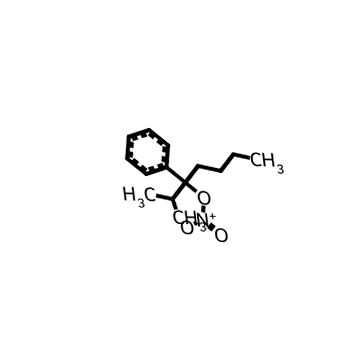 CCCCC(O[N+](=O)[O-])(c1ccccc1)C(C)C